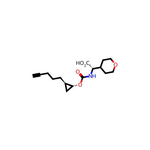 C#CCCC[C@@H]1C[C@H]1OC(=O)N[C@H](C(=O)O)C1CCOCC1